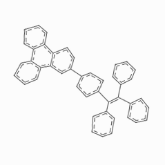 c1ccc(C(=C(c2ccccc2)c2ccc(-c3ccc4c5ccccc5c5ccccc5c4c3)cc2)c2ccccc2)cc1